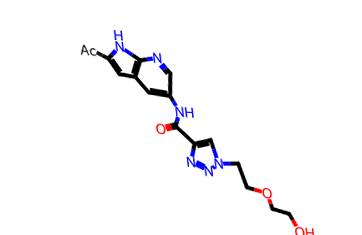 CC(=O)c1cc2cc(NC(=O)c3cn(CCOCCO)nn3)cnc2[nH]1